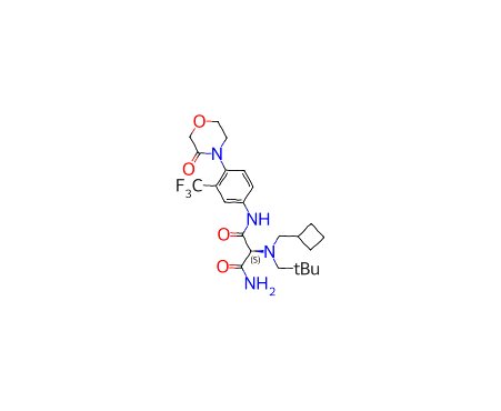 CC(C)(C)CN(CC1CCC1)[C@@H](C(N)=O)C(=O)Nc1ccc(N2CCOCC2=O)c(C(F)(F)F)c1